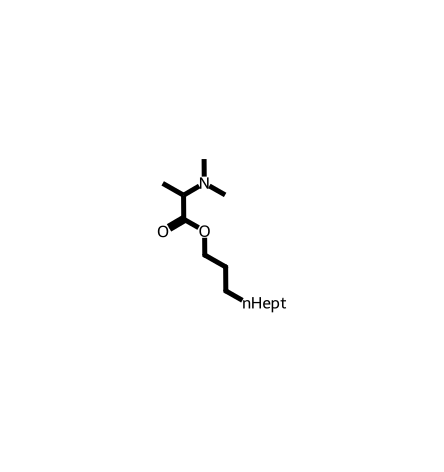 CCCCCCCCCCOC(=O)C(C)N(C)C